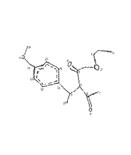 CCOC(=O)C(C(C)=O)C(C)c1ccc(OC)cc1